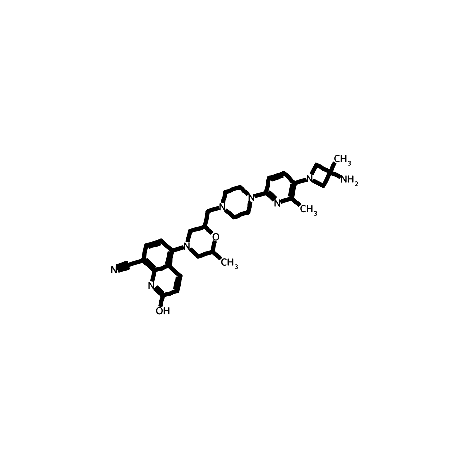 Cc1nc(N2CCN(CC3CN(c4ccc(C#N)c5nc(O)ccc45)CC(C)O3)CC2)ccc1N1CC(C)(N)C1